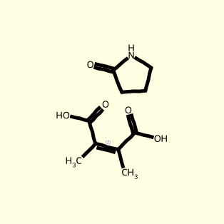 C/C(C(=O)O)=C(\C)C(=O)O.O=C1CCCN1